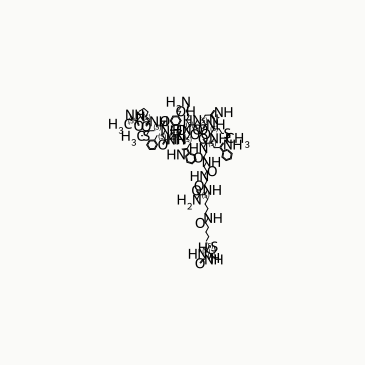 CSCC[C@H](NC(=O)[C@H](Cc1c[nH]cn1)NC(=O)[C@H](CCCCN)NC(=O)[C@H](Cc1c[nH]c2ccccc12)NC(=O)[C@H](Cc1ccc(O)cc1)NC(=O)[C@H](Cc1ccccc1)NC(=O)[C@H](CCSC)NC(=O)[C@@H]1CCCN1C(=O)[C@H](C)N)C(=O)N[C@@H](Cc1c[nH]c2ccccc12)C(=O)NCC(=O)NCC(=O)NCC(=O)N[C@@H](CCCCNC(=O)CCCC[C@@H]1SC[C@@H]2NC(=O)N[C@@H]21)C(N)=O